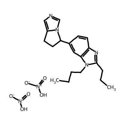 CCCCn1c(CCC)nc2ccc(C3CCc4cncn43)cc21.O=[N+]([O-])O.O=[N+]([O-])O